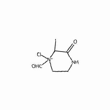 CC1C(=O)NCC[N+]1(Cl)C=O